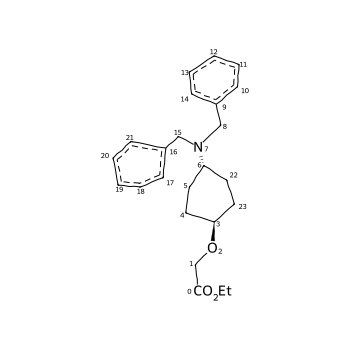 CCOC(=O)CO[C@H]1CC[C@H](N(Cc2ccccc2)Cc2ccccc2)CC1